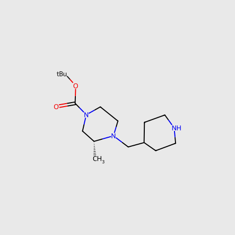 C[C@@H]1CN(C(=O)OC(C)(C)C)CCN1CC1CCNCC1